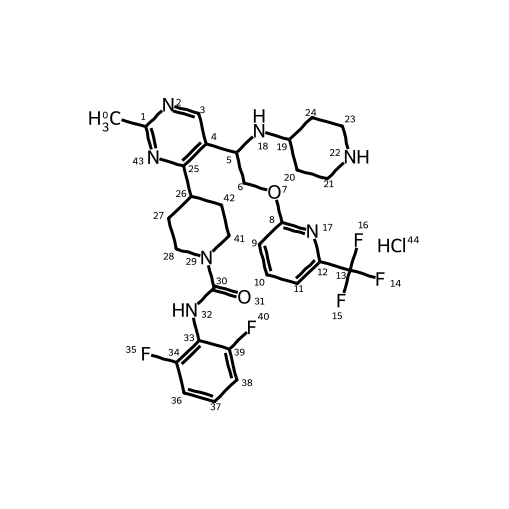 Cc1ncc(C(COc2cccc(C(F)(F)F)n2)NC2CCNCC2)c(C2CCN(C(=O)Nc3c(F)cccc3F)CC2)n1.Cl